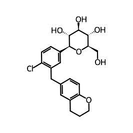 OC[C@H]1O[C@@H](c2ccc(Cl)c(Cc3ccc4c(c3)CCCO4)c2)[C@H](O)[C@@H](O)[C@@H]1O